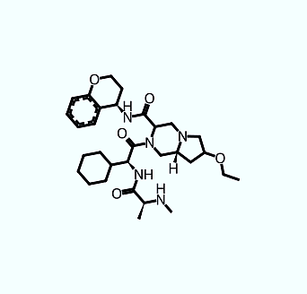 CCOC1C[C@@H]2CN(C(=O)[C@@H](NC(=O)[C@H](C)NC)C3CCCCC3)C(C(=O)N[C@@H]3CCOc4ccccc43)CN2C1